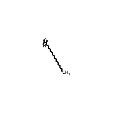 CCCCCCCCCCCCCCCCCC1=NC=C2C=NC=C21